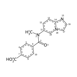 CN(C(=O)c1ccc(C(=O)O)cc1)c1ccc2nccn2c1